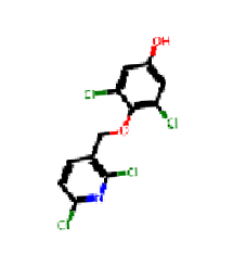 Oc1cc(Cl)c(OCc2ccc(Cl)nc2Cl)c(Cl)c1